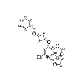 Clc1cc(OC2CC(OCc3ccccc3)C2)c2c(n1)C1(CCOC1)OCC2